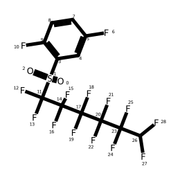 O=S(=O)(c1cc(F)ccc1F)C(F)(F)C(F)(F)C(F)(F)C(F)(F)C(F)(F)C(F)F